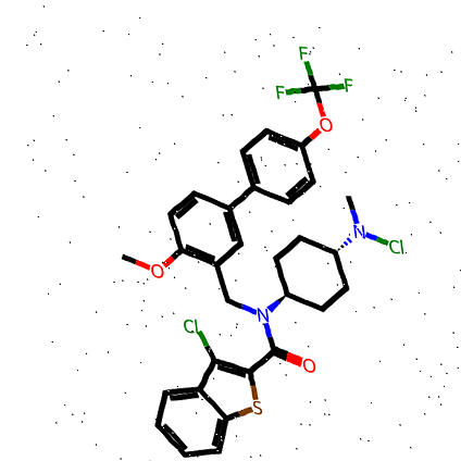 COc1ccc(-c2ccc(OC(F)(F)F)cc2)cc1CN(C(=O)c1sc2ccccc2c1Cl)[C@H]1CC[C@H](N(C)Cl)CC1